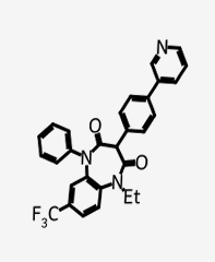 CCN1C(=O)C(c2ccc(-c3cccnc3)cc2)C(=O)N(c2ccccc2)c2cc(C(F)(F)F)ccc21